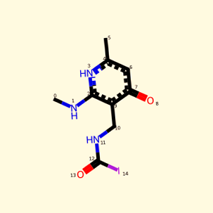 CNc1[nH]c(C)cc(=O)c1CNC(=O)I